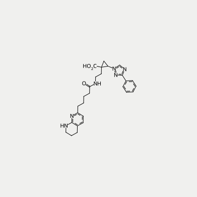 O=C(CCCCc1ccc2c(n1)NCCC2)NCCC1(C(=O)O)CC1n1cnc(-c2ccccc2)n1